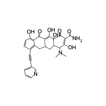 CN(C)C1C(O)=C(C(N)=O)C(=O)C2(O)C(O)=C3C(=O)c4c(O)ccc(C#Cc5cccnc5)c4CC3CC12